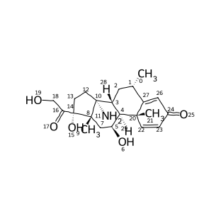 C[C@H]1C[C@@H]2[C@H]([C@@H](O)C[C@@]3(C)[C@@]2(N)CC[C@]3(O)C(=O)CO)[C@@]2(C)C=CC(=O)C=C12